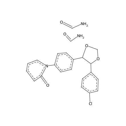 NC=O.NC=O.O=c1ccccn1-c1ccc(C2OCOC2c2ccc(Cl)cc2)cc1